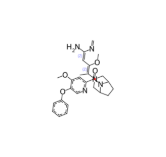 C=N/C(N)=C\C(OC)=C(/C)N1CC2CCC(C1)N2C(=O)c1cc(OC)c(Oc2ccccc2)cn1